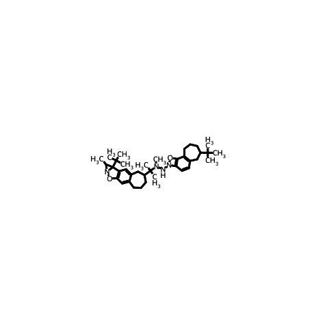 CC1N2Oc3cc4c(cc3C12C(C)(C)C)CC(C(C)(C)N(C)Nn1oc2c3c(ccc21)CC(C(C)(C)C)CCC3)CCC4